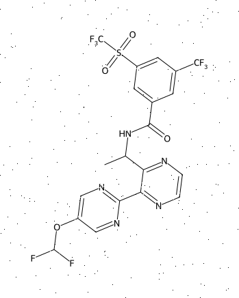 CC(NC(=O)c1cc(C(F)(F)F)cc(S(=O)(=O)C(F)(F)F)c1)c1nccnc1-c1ncc(OC(F)F)cn1